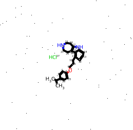 CC(C)c1ccc(OCCCc2cccc3[nH]c4c(c23)CCNCC4)cc1.Cl